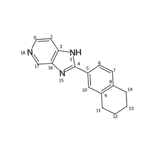 c1cc2[nH]c(-c3ccc4c(c3)CCCC4)nc2cn1